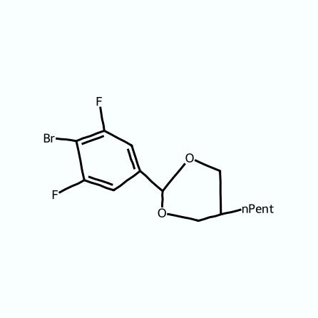 CCCCCC1COC(c2cc(F)c(Br)c(F)c2)OC1